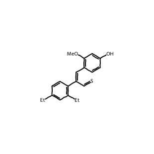 CCc1ccc(/C(C=S)=C/c2ccc(O)cc2OC)c(CC)c1